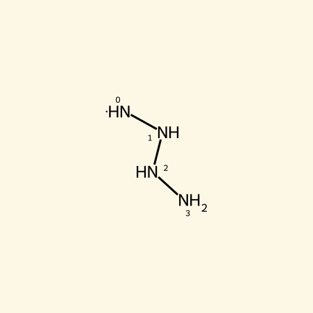 [NH]NNN